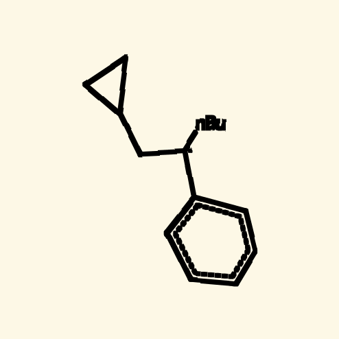 CCCC[C](CC1CC1)c1ccccc1